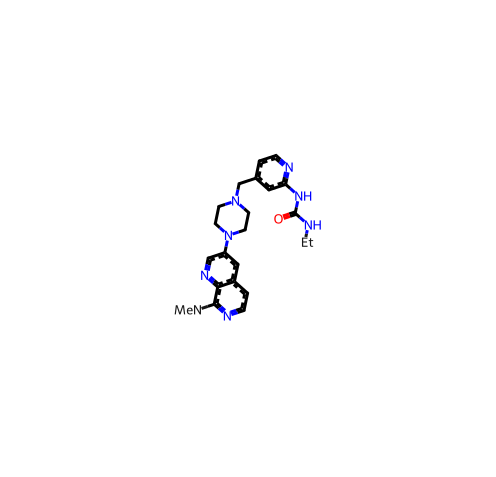 CCNC(=O)Nc1cc(CN2CCN(c3cnc4c(NC)nccc4c3)CC2)ccn1